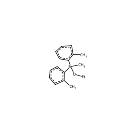 CCO[Si](C)(c1ccccc1C)c1ccccc1C